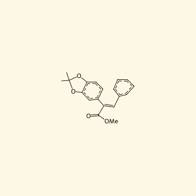 COC(=O)/C(=C/c1ccccc1)c1ccc2c(c1)OC(C)(C)O2